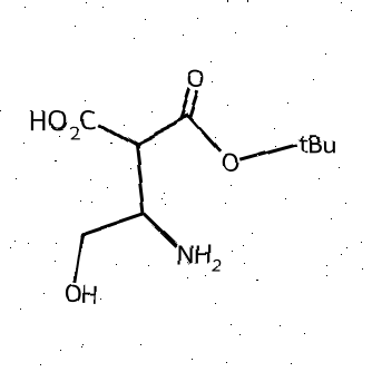 CC(C)(C)OC(=O)C(C(=O)O)C(N)CO